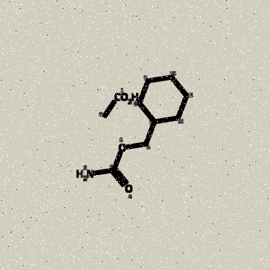 CC(=O)O.NC(=O)OCC1CCCCC1